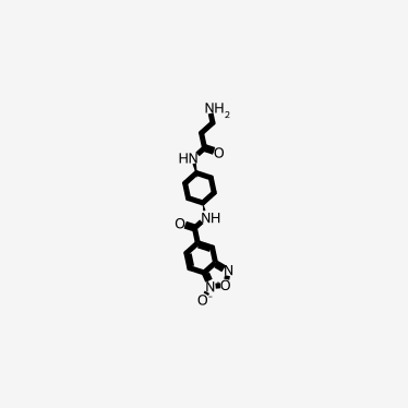 NCCC(=O)N[C@H]1CC[C@H](NC(=O)c2ccc3c(c2)no[n+]3[O-])CC1